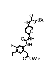 COC(=O)Cc1cc(F)c(F)cc1NC(=O)Nc1ccc(NC(=O)OC(C)(C)C)cc1